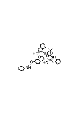 CC(C)(C)OC(=O)N[C@@H](Cc1ccccc1)[C@@H](O)C[C@@H](Cc1ccc(OCCNc2ccncc2)cc1)C(=O)N[C@H]1c2ccccc2C[C@H]1O